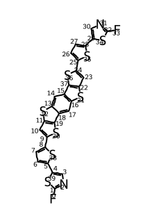 Fc1ncc(-c2ccc(-c3cc4sc5cc6c(cc5c4s3)sc3cc(-c4ccc(-c5cnc(F)s5)s4)sc36)s2)s1